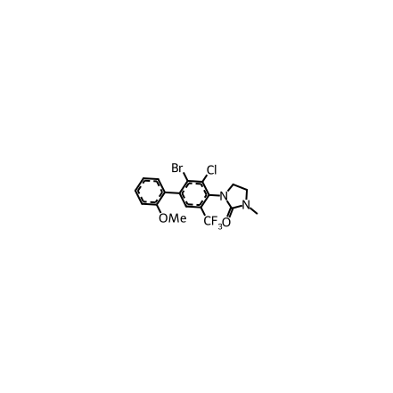 COc1ccccc1-c1cc(C(F)(F)F)c(N2CCN(C)C2=O)c(Cl)c1Br